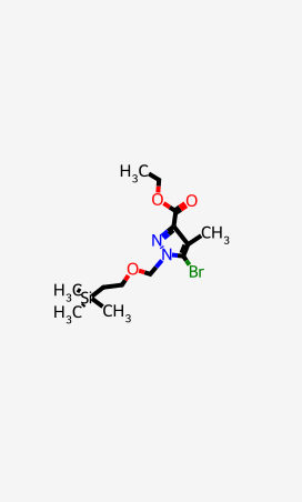 CCOC(=O)c1nn(COCC[Si](C)(C)C)c(Br)c1C